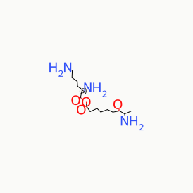 CC(N)C(=O)CCCCCC(=O)OC(=O)[C@@H](N)CCCCN